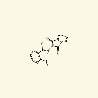 COc1ccccc1C(=O)NN1C(=O)c2ccccc2C1=O